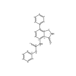 O=C1NCc2c(-c3ccccc3)ccc(NC(=S)Oc3ccccc3)c21